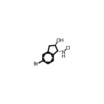 O[C@@H]1Cc2cc(Br)ccc2[C@H]1NCl